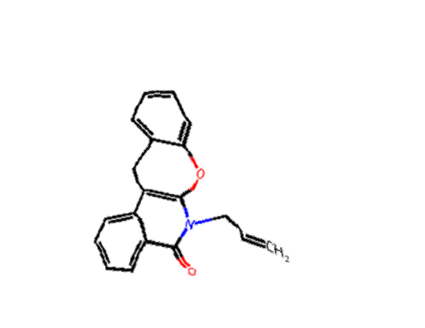 C=CCn1c2c(c3ccccc3c1=O)Cc1ccccc1O2